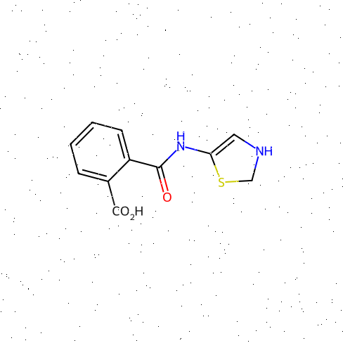 O=C(O)c1ccccc1C(=O)NC1=CNCS1